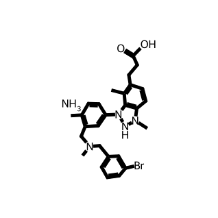 Cc1ccc(N2NN(C)c3ccc(CCC(=O)O)c(C)c32)cc1CN(C)Cc1cccc(Br)c1.N